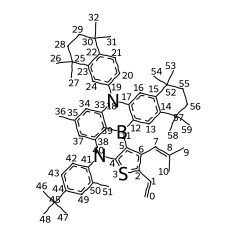 C=Cc1sc2c(c1C=C(C)C)B1c3cc4c(cc3N(c3ccc5c(c3)C(C)(C)CCC5(C)C)c3cc(C)cc(c31)N2c1ccc(C(C)(C)C)cc1C)C(C)(C)CCC4(C)C